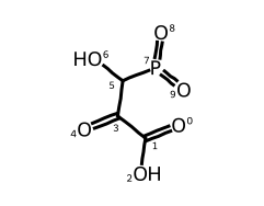 O=C(O)C(=O)C(O)P(=O)=O